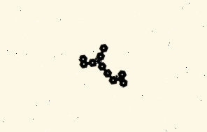 c1ccc(-c2ccc(N(c3ccc(-c4ccc(-c5cccc(-n6c7ccccc7c7ccccc76)c5)cc4)cc3)c3ccc(-c4cccc5ccccc45)cc3)cc2)cc1